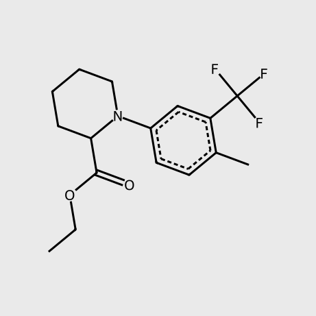 CCOC(=O)C1CCCCN1c1ccc(C)c(C(F)(F)F)c1